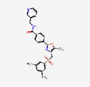 Cc1cc(C)cc(S(=O)(=O)Cc2nc(-c3ccc(C(=O)NCc4cccnc4)cc3)oc2C)c1